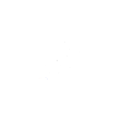 O=[N+]([O-])c1ccc(OCC2CCCO2)c(Cl)c1F